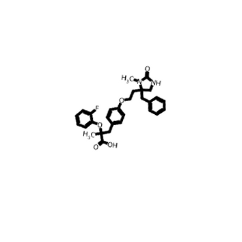 CN1C(=O)NCC1(CCOc1ccc(CC(C)(Oc2ccccc2F)C(=O)O)cc1)Cc1ccccc1